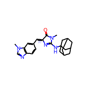 CN1C(=O)/C(=C/c2ccc3ncn(C)c3c2)N=C1NC12CC3CC(CC(C3)C1)C2